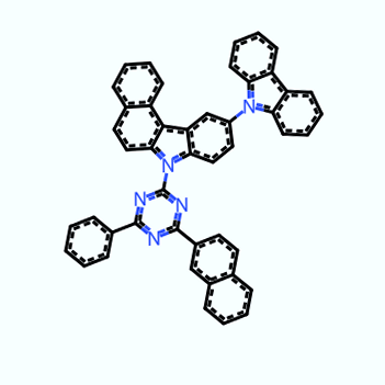 c1ccc(-c2nc(-c3ccc4ccccc4c3)nc(-n3c4ccc(-n5c6ccccc6c6ccccc65)cc4c4c5ccccc5ccc43)n2)cc1